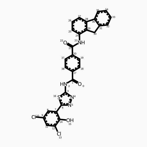 O=C(Nc1nnc(-c2cc(Cl)cc(Cl)c2O)s1)c1ccc(C(=O)Nc2cccc3c2Cc2ccccc2-3)cc1